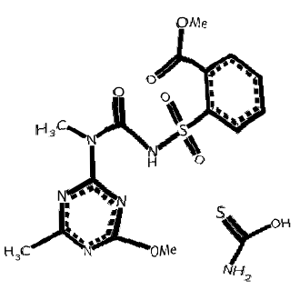 COC(=O)c1ccccc1S(=O)(=O)NC(=O)N(C)c1nc(C)nc(OC)n1.NC(O)=S